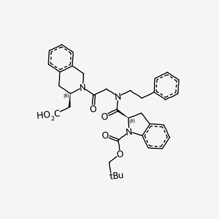 CC(C)(C)COC(=O)N1c2ccccc2C[C@@H]1C(=O)N(CCc1ccccc1)CC(=O)N1Cc2ccccc2C[C@@H]1CC(=O)O